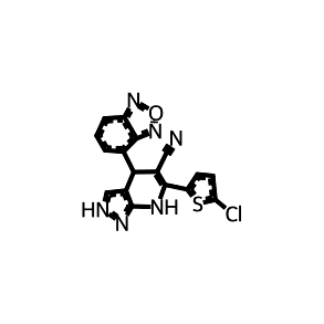 N#CC1=C(c2ccc(Cl)s2)Nc2n[nH]cc2C1c1cccc2nonc12